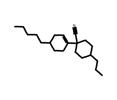 CCCCCC1CC=C(C2(C#N)CCC(CCC)CC2)CC1